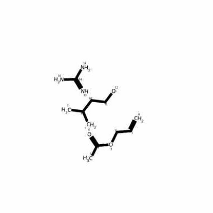 C=CCOC(C)=O.CC(C)CC[O].N=C(N)N